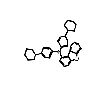 C1=CC(C2CCCCC2)CC=C1N(c1ccc(C2CCCCC2)cc1)c1cccc2oc3ccccc3c12